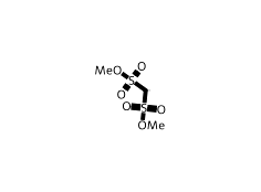 COS(=O)(=O)[CH]S(=O)(=O)OC